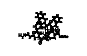 CNC(=O)N1CCC2(CN(C(=O)[C@@H](CCCCN)NC(=O)[C@@H](CC(C)C)NC(=O)[C@@H](Cc3ccccc3)NC(=O)[C@H](N)Cc3ccccc3)C2)C(F)(F)C1